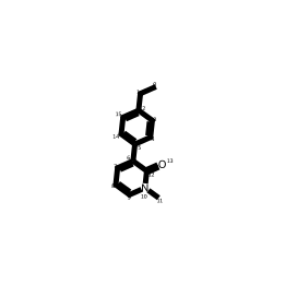 CCc1ccc(-c2cccn(C)c2=O)cc1